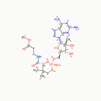 CC(C)OC(=O)CCNC(=O)[C@@H]1OP(=O)(OC[C@H]2O[C@@H](n3cnc4c(N)nc(N)nc43)[C@](C)(O)[C@@H]2O)OCC1(C)C